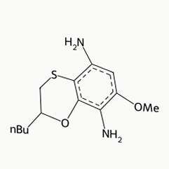 CCCCC1CSc2c(N)cc(OC)c(N)c2O1